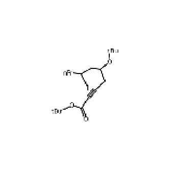 CCCCOC(CC#CC(=O)OC(C)(C)C)CC(I)CCC